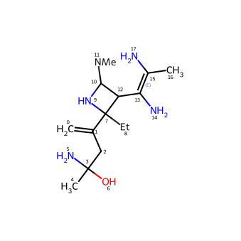 C=C(CC(C)(N)O)C1(CC)NC(NC)C1/C(N)=C(/C)N